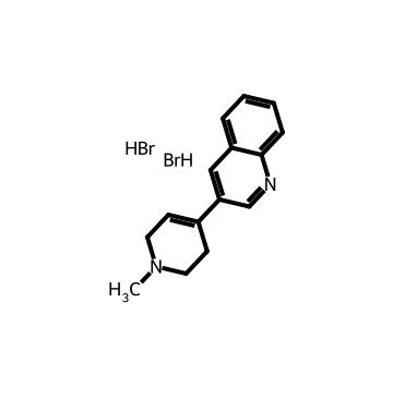 Br.Br.CN1CC=C(c2cnc3ccccc3c2)CC1